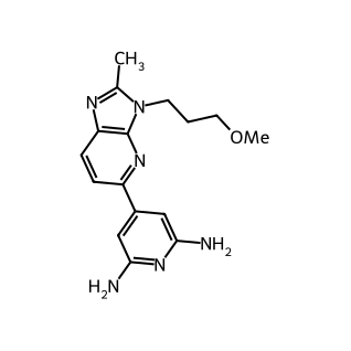 COCCCn1c(C)nc2ccc(-c3cc(N)nc(N)c3)nc21